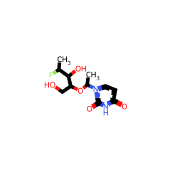 CC(F)C(O)C(CO)OC(C)n1ccc(=O)[nH]c1=O